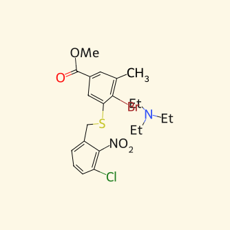 CCN(CC)CC.COC(=O)c1cc(C)c(Br)c(SCc2cccc(Cl)c2[N+](=O)[O-])c1